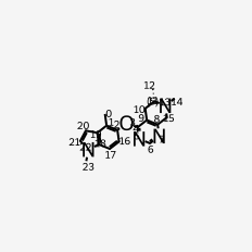 Cc1c(Oc2ncnc3c2C[C@H](C)N(C)C3)ccc2c1ccn2C